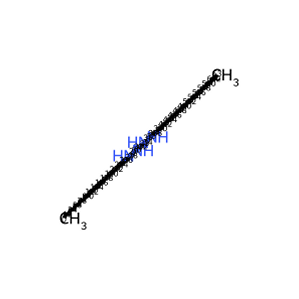 CCCCCCCCCCCCCCCCCCCCCCCCCCCNCCNCCNCCNCCCCCCCCCCCCCCCCCCCCCCCCCCC